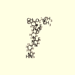 COc1cc(OCCN(C)C)cc(N(CC2CCN(c3nc(-c4cccc(-c5cc[nH]n5)c4)ncc3F)CC2)C(=O)C(F)(F)F)c1